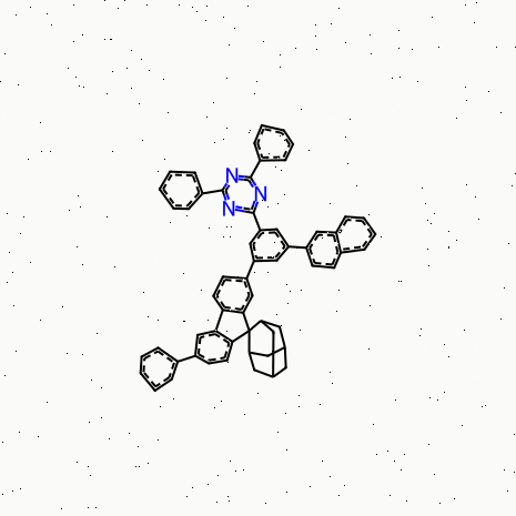 c1ccc(-c2ccc3c(c2)-c2ccc(-c4cc(-c5ccc6ccccc6c5)cc(-c5nc(-c6ccccc6)nc(-c6ccccc6)n5)c4)cc2C32C3CC4CC(C3)CC2C4)cc1